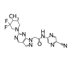 CC1CCN(c2ncc3cnn(CC(=O)Nc4cnc(C#N)cn4)c3n2)CC1(F)F